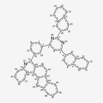 c1cc(-c2cc(-c3ccc4ccccc4c3)nc(-c3ccc4ccccc4c3)n2)cc(-c2nc3ccccc3c3c2ccc2c4ccccc4sc23)c1